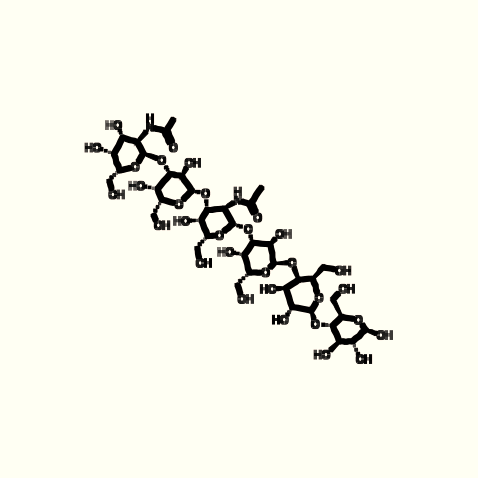 CC(=O)N[C@H]1[C@@H](O[C@H]2[C@@H](O)[C@@H](CO)O[C@@H](O[C@H]3[C@@H](O)[C@@H](CO)O[C@@H](O[C@H]4[C@@H](O)[C@@H](CO)O[C@H](O[C@@H]5[C@H](O)[C@@H](O)[C@H](O[C@H]6[C@H](O)[C@@H](O)[C@H](O)O[C@@H]6CO)O[C@@H]5CO)[C@@H]4O)[C@@H]3NC(C)=O)[C@@H]2O)O[C@H](CO)[C@H](O)[C@@H]1O